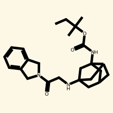 CCC(C)(C)OC(=O)NC12CC3CC1CC(NCC(=O)N1Cc4ccccc4C1)(C3)C2